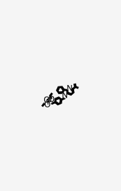 C=C(C)c1ccc2c(n1)c1ccccc1n2Cc1ccc(CP(=O)(OCC)OCC)cc1